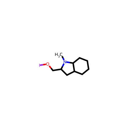 CN1C(COI)CC2CCCCC21